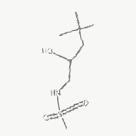 CC(C)(C)CC(O)CNS(C)(=O)=O